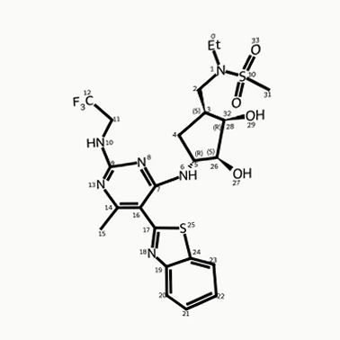 CCN(C[C@@H]1C[C@@H](Nc2nc(NCC(F)(F)F)nc(C)c2-c2nc3ccccc3s2)[C@H](O)[C@@H]1O)S(C)(=O)=O